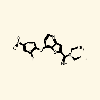 CCN(CC)C(=N)c1cc2nccc(Oc3ccc([N+](=O)[O-])cc3F)c2s1